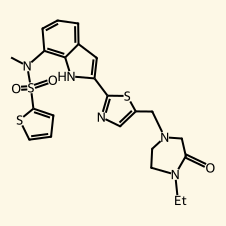 CCN1CCN(Cc2cnc(-c3cc4cccc(N(C)S(=O)(=O)c5cccs5)c4[nH]3)s2)CC1=O